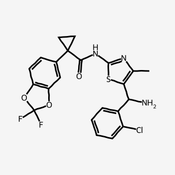 Cc1nc(NC(=O)C2(c3ccc4c(c3)OC(F)(F)O4)CC2)sc1C(N)c1ccccc1Cl